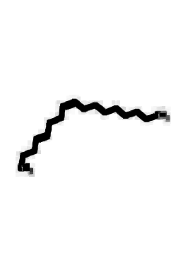 CCC/C=C/CC/C=C\CCCCCCCC